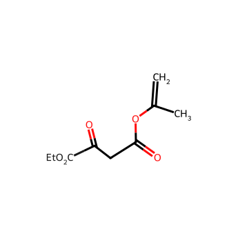 C=C(C)OC(=O)CC(=O)C(=O)OCC